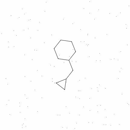 [CH]1CC1CC1CCCCC1